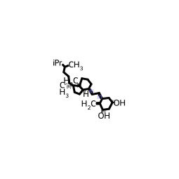 C=C1/C(=C\C=C2/CCC[C@]3(C)C([C@H](C)CCC(C)C(C)C)CC[C@@H]23)C[C@H](O)C[C@@H]1O